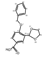 O=C(O)c1ccc(OCc2ccccc2)c(C2OCCO2)c1